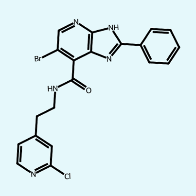 O=C(NCCc1ccnc(Cl)c1)c1c(Br)cnc2[nH]c(-c3ccccc3)nc12